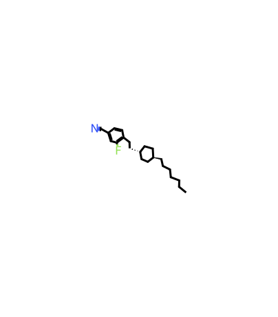 CCCCCCC[C@H]1CC[C@H](CCc2ccc(C#N)cc2F)CC1